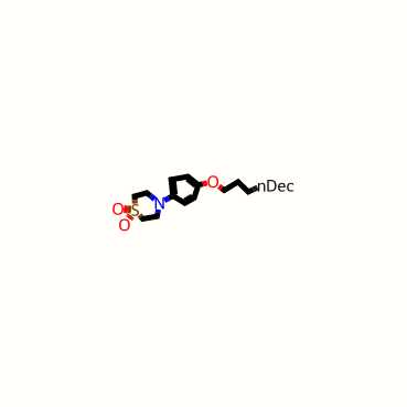 CCCCCCCCCCCCCOc1ccc(N2CCS(=O)(=O)CC2)cc1